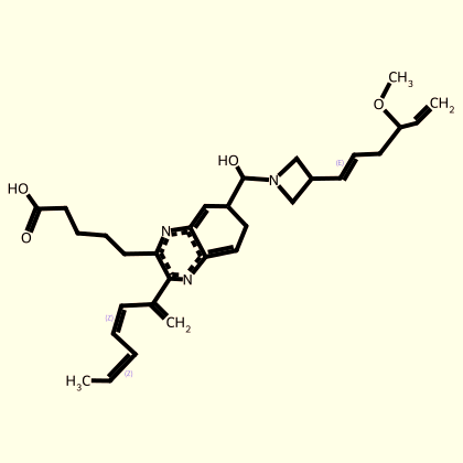 C=CC(C/C=C/C1CN(C(O)C2C=c3nc(CCCCC(=O)O)c(C(=C)/C=C\C=C/C)nc3=CC2)C1)OC